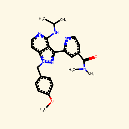 COc1ccc(Cn2nc(-c3cc(C(=O)N(C)C)ccn3)c3c(NC(C)C)nccc32)cc1